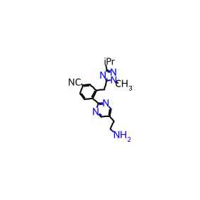 CC(C)c1nc(Cc2cc(C#N)ccc2-c2ncc(CCN)cn2)n(C)n1